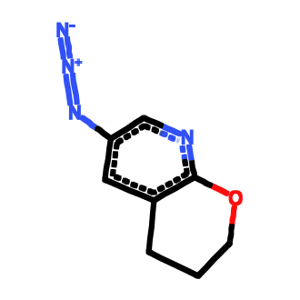 [N-]=[N+]=Nc1cnc2c(c1)CCCO2